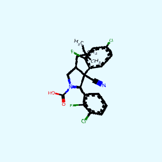 CC(C)(C)CC1CN(C(=O)O)C(c2cccc(Cl)c2F)C1(C#N)c1ccc(Cl)cc1F